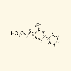 CCc1cc(-c2ccccc2)ccc1/C=C/C(=O)O